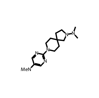 CNc1cnc(N2CCC3(CC2)CCN(N(C)C)C3)nc1